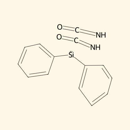 N=C=O.N=C=O.c1ccc([Si]c2ccccc2)cc1